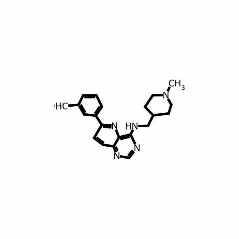 [CH]c1cccc(-c2ccc3ncnc(NCC4CCN(C)CC4)c3n2)c1